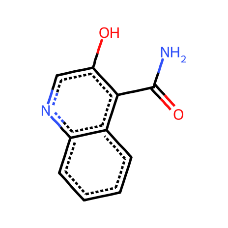 NC(=O)c1c(O)cnc2ccccc12